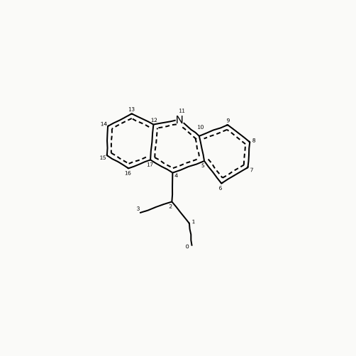 CCC(C)c1c2ccccc2nc2ccccc12